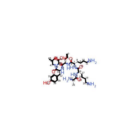 C=CC[C@H](NC(=O)[C@H](CCCCN)NC(=O)[C@H](CCCCN)NC(=O)[C@H](C)N)C(=O)N[C@@H](Cc1ccc(O)cc1)C(=O)N(CC(=O)O)CC(C)C